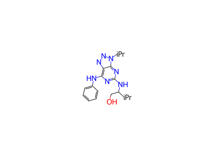 CC(C)C(CO)Nc1nc(Nc2ccccc2)c2nnn(C(C)C)c2n1